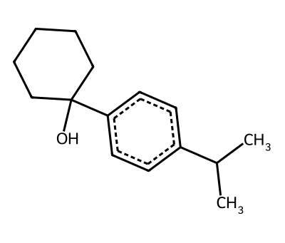 CC(C)c1ccc(C2(O)CCCCC2)cc1